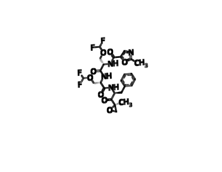 Cc1ncc(C(=O)N[C@@H](COC(F)F)C(=O)N[C@@H](COC(F)F)C(=O)N[C@@H](Cc2ccccc2)C(=O)[C@@]2(C)CO2)o1